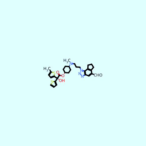 Cc1ccc([C@@](O)(C(=O)O[C@H]2CC[C@H](N(C)CCCn3nnc4cc(C=O)c5c(c43)CCC5)CC2)c2cccs2)s1